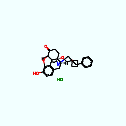 Cl.O=C1CC[C@@]2(OCCCc3ccccc3)[C@H]3Cc4ccc(O)c5c4[C@@]2(CCN3CC2CCC2)[C@H]1O5